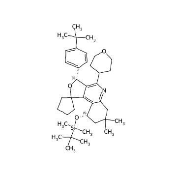 CC1(C)Cc2nc(C3CCOCC3)c3c(c2[C@@H](O[Si](C)(C)C(C)(C)C)C1)C1(CCCC1)O[C@@H]3c1ccc(C(C)(C)C)cc1